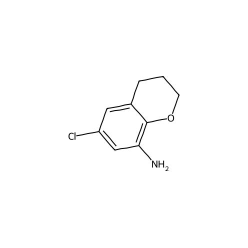 Nc1cc(Cl)cc2c1OCCC2